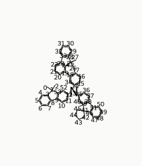 CC1(C)c2ccccc2-c2ccc(N(c3cccc(-c4cccc5c4C(C)(C)c4ccccc4-5)c3)c3ccc4c(c3)C3(CCCC3)c3ccccc3-4)cc21